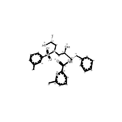 Cc1cccc(S(=O)(=O)N(C[C@@H](O)[C@H](Cc2ccccc2)NC(=O)c2cccc(C)n2)C[C@@H](C)O)c1